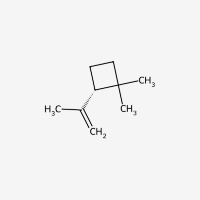 C=C(C)[C@@H]1CCC1(C)C